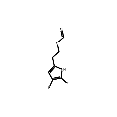 O=COCCc1cc(F)c(F)[nH]1